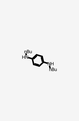 CCCCNc1ccc(NCCCC)cc1